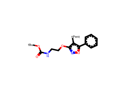 CCCCCc1c(OCCNC(=O)OC(C)(C)C)noc1-c1ccccc1